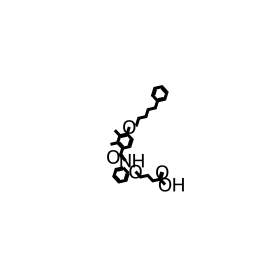 Cc1c(OCCCCCc2ccccc2)ccc(C(=O)Nc2ccccc2OCCCC(=O)O)c1C